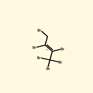 BrC/C(Br)=C(\Br)C(Br)(Br)Br